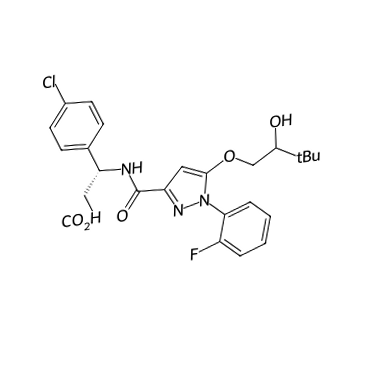 CC(C)(C)C(O)COc1cc(C(=O)N[C@H](CC(=O)O)c2ccc(Cl)cc2)nn1-c1ccccc1F